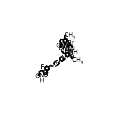 CCOc1cc(N2CCC(N3CCN(CCc4cc(F)c([C@H]5CCC(=O)NC5=O)c(F)c4)CC3)CC2)c(CC)cc1Nc1ncc(Br)c(Nc2ccc(CC)c3c2N(S(C)(=O)=O)CC3)n1